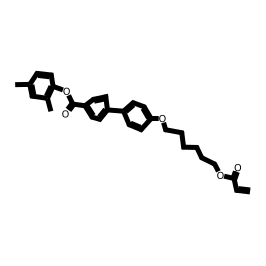 C=CC(=O)OCCCCCCOc1ccc(-c2ccc(C(=O)Oc3ccc(C)cc3C)cc2)cc1